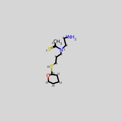 CC(=S)N(CCN)CCCSC1CCCCO1